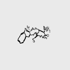 O=c1[nH]c(=S)n(-c2cnc3ccccc3c2)c([AsH2])c1[AsH2]